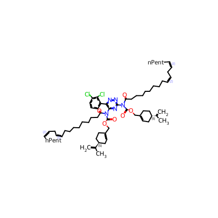 C=C(C)[C@@H]1CC=C(COC(=O)N(C(=O)CCCCCCCC/C=C\C/C=C\CCCCC)c2nnc(-c3cccc(Cl)c3Cl)c(N(C(=O)CCCCCCCC/C=C\C/C=C\CCCCC)C(=O)OCC3=CC[C@@H](C(=C)C)CC3)n2)CC1